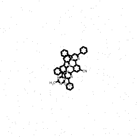 Cc1nc(C)nc(-c2ccc3c4ccccc4n(-c4c(-c5nc(-c6ccccc6)cc(-c6ccccc6)n5)cc(C#N)cc4-c4nc(-c5ccccc5)cc(-c5ccccc5)n4)c3c2)n1